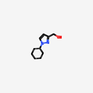 OCc1ccn(C2CCCCC2)n1